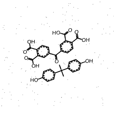 CC(C)(c1ccc(O)cc1)c1ccc(O)cc1.O=C(c1ccc(C(=O)O)c(C(=O)O)c1)c1ccc(C(=O)O)c(C(=O)O)c1